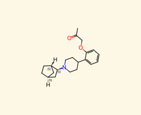 CC(=O)COc1ccccc1C1CCN([C@H]2C[C@H]3CC[C@H]2C3)CC1